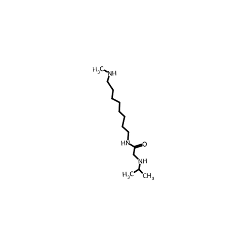 CNCCCCCCCCNC(=O)CNC(C)C